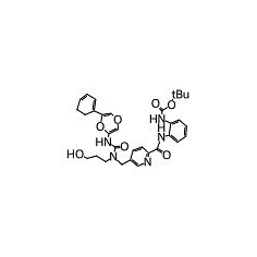 CC(C)(C)OC(=O)Nc1ccccc1NC(=O)c1ccc(CN(CCCO)C(=O)NC2=COC=C(C3=CC=CCC3)O2)cn1